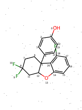 Oc1ccc(C23CCC(F)(F)CC2Oc2cccc(F)c23)cc1